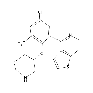 Cc1cc(Cl)cc(-c2nccc3sccc23)c1O[C@H]1CCCNC1